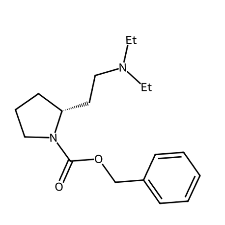 CCN(CC)CC[C@H]1CCCN1C(=O)OCc1ccccc1